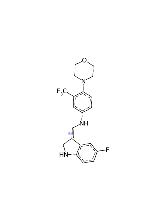 Fc1ccc2c(c1)/C(=C\Nc1ccc(N3CCOCC3)c(C(F)(F)F)c1)CN2